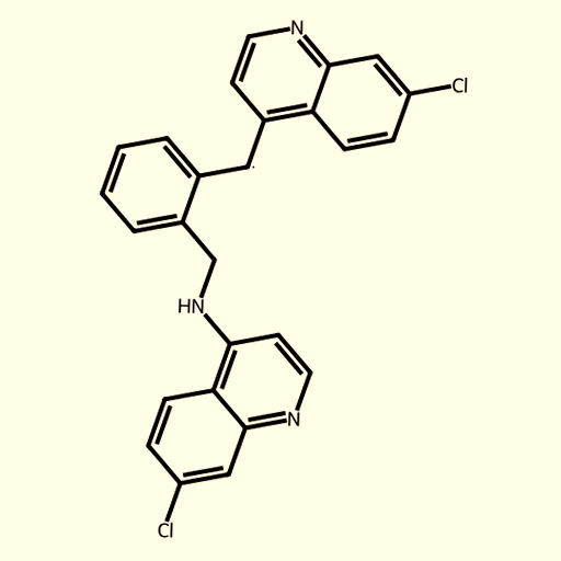 Clc1ccc2c([CH]c3ccccc3CNc3ccnc4cc(Cl)ccc34)ccnc2c1